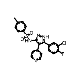 Cc1ccc(S(=O)(=O)Nc2n[nH]c(-c3ccc(F)c(Cl)c3)c2-c2ccncc2)cc1